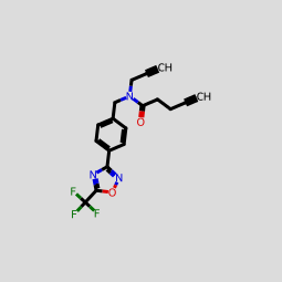 C#CCCC(=O)N(CC#C)Cc1ccc(-c2noc(C(F)(F)F)n2)cc1